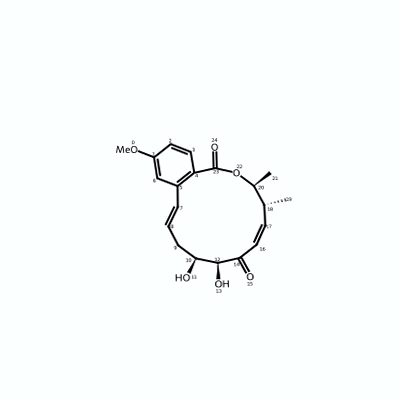 COc1ccc2c(c1)/C=C/C[C@H](O)[C@H](O)C(=O)/C=C\[C@@H](C)[C@H](C)OC2=O